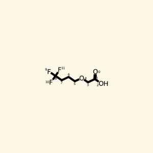 O=C(O)COCCCC(F)(F)F